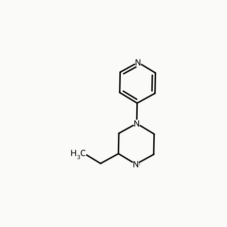 CCC1CN(c2ccncc2)CC[N]1